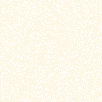 [O-]B1OB2OB([O-])OB(O1)O2.[O-]B1OB2OB([O-])OB(O1)O2.[O-]B1OB2OB([O-])OB(O1)O2.[Pm+3].[Pm+3]